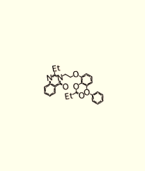 CCC(=O)Oc1c(OCCn2c(CC)nc3ccccc3c2=O)cccc1Oc1ccccc1